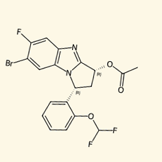 CC(=O)O[C@@H]1C[C@H](c2ccccc2OC(F)F)n2c1nc1cc(F)c(Br)cc12